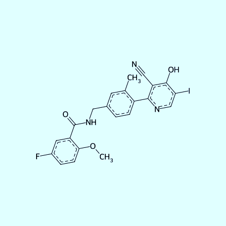 COc1ccc(F)cc1C(=O)NCc1ccc(-c2ncc(I)c(O)c2C#N)c(C)c1